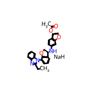 CCc1nc2ccccc2n1-c1cccc2c1OC[C@H]2Nc1ccc2c(c1)OC[C@H]2OC(C)=O.[NaH]